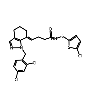 O=C(CC/C=C1\CCCc2cnn(Cc3ccc(Cl)cc3Cl)c21)NSc1ccc(Cl)s1